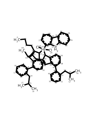 CCCCC1=Cc2c(-c3ccccc3CC(C)C)cccc2[CH]1[Hf]([Cl])([Cl])([c]1cccc2c1[SiH2]c1ccccc1-2)[CH]1C(CCCC)=Cc2c(-c3ccccc3CC(C)C)cccc21